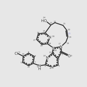 O=c1c2cnc(Nc3ccc(Cl)cc3)nc2n2n1C/C=C\CCC(O)c1cccc-2n1